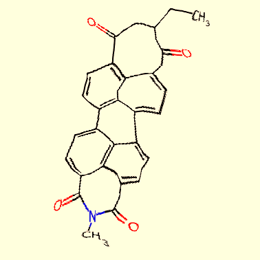 CCC1CC(=O)c2ccc3c4ccc5c6c(ccc(c7ccc(c2c37)C1=O)c64)C(=O)N(C)C5=O